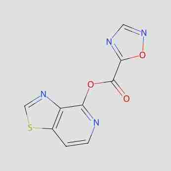 O=C(Oc1nccc2scnc12)c1ncno1